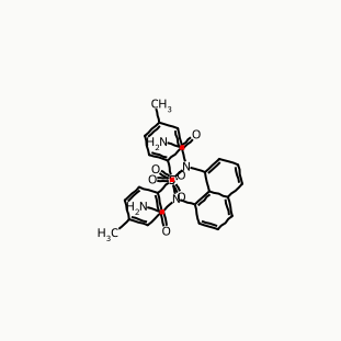 Cc1ccc(S(=O)(=O)N(C(N)=O)c2cccc3cccc(N(C(N)=O)S(=O)(=O)c4ccc(C)cc4)c23)cc1